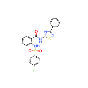 O=C(Nc1nc(-c2ccccc2)ns1)c1ccccc1NS(=O)(=O)c1ccc(F)cc1